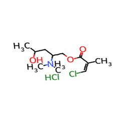 CC(=CCl)C(=O)OCC(CC(C)O)N(C)C.Cl